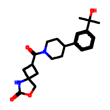 CC(C)(O)c1cccc(C2CCN(C(=O)C3CC4(COC(=O)N4)C3)CC2)c1